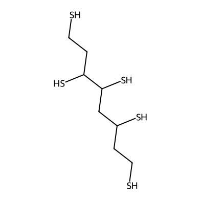 SCCC(S)CC(S)C(S)CCS